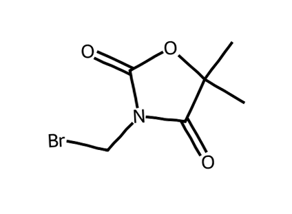 CC1(C)OC(=O)N(CBr)C1=O